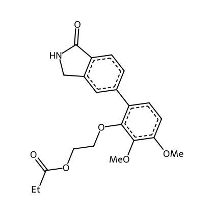 CCC(=O)OCCOc1c(-c2ccc3c(c2)CNC3=O)ccc(OC)c1OC